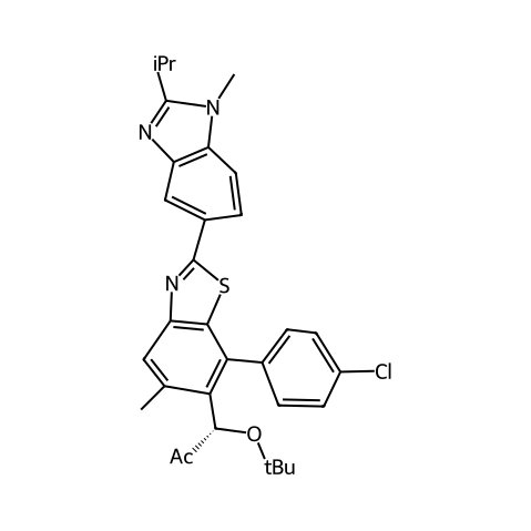 CC(=O)[C@@H](OC(C)(C)C)c1c(C)cc2nc(-c3ccc4c(c3)nc(C(C)C)n4C)sc2c1-c1ccc(Cl)cc1